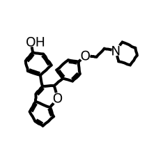 Oc1ccc(C2=Cc3ccccc3OC2c2ccc(OCCN3CCCCC3)cc2)cc1